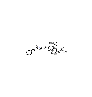 CC(CC/C=C/C(=O)OCC1CCCCC1)O[C@@H]1O[C@@H](C)[C@H](O[Si](C)(C)C(C)(C)C)C[C@H]1O[Si](C)(C)C(C)(C)C